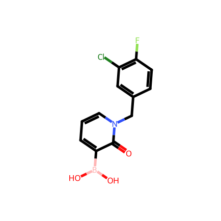 O=c1c(B(O)O)cccn1Cc1ccc(F)c(Cl)c1